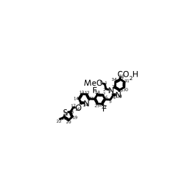 COCCn1c(Cc2cc(F)c(-c3cccc(OCc4ccc(C)s4)n3)cc2F)nc2ccc(C(=O)O)cc21